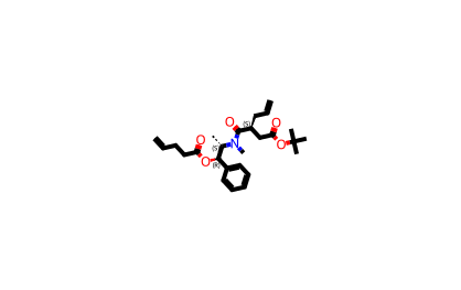 C=CCCC(=O)O[C@H](c1ccccc1)[C@H](C)N(C)C(=O)[C@@H](CC=C)CC(=O)OC(C)(C)C